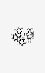 CC1(C)O[C@H]2[C@@H](COC(c3ccccc3)(c3ccccc3)c3ccccc3)NC[C@H]2O1